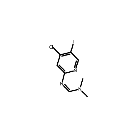 CN(C)/C=N\c1cc(Cl)c(I)cn1